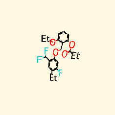 CCOc1cccc(OC(=O)CC)c1COc1cc(F)c(CC)cc1C(F)F